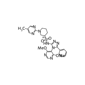 COc1ncnc(OC)c1-n1c(NS(=O)(=O)[C@@H]2CCCN(c3ncc(C)cn3)C2)nnc1-c1ccccc1